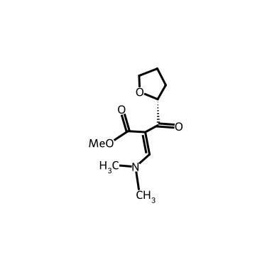 COC(=O)/C(=C\N(C)C)C(=O)[C@H]1CCCO1